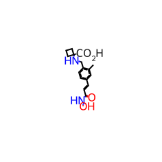 Cc1cc(C=CC(=O)NO)ccc1CNC1(C(=O)O)CCC1